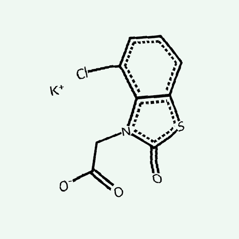 O=C([O-])Cn1c(=O)sc2cccc(Cl)c21.[K+]